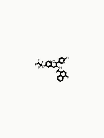 O=C(NC(Cc1cccc(OC(F)(F)C(F)F)c1)C(O)c1ccc(Cl)nc1)c1ccc(F)c2ccccc12